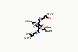 CCCCCCCCC(CCCCCC)CN1C(=O)C2=C(c3cnc(-c4cc(CCCCCC)c(Br)s4)s3)N(CC(CCCCCC)CCCCCCCC)C(=O)C2=C1c1cnc(-c2cc(CCCCCC)c(Br)s2)s1